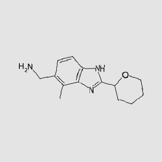 Cc1c(CN)ccc2[nH]c(C3CCCCO3)nc12